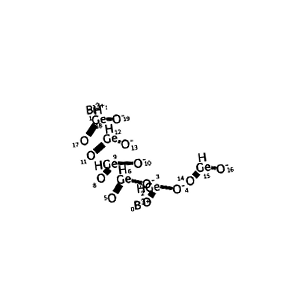 [B+3].[Bi+3].[O]=[GeH][O-].[O]=[GeH][O-].[O]=[GeH][O-].[O]=[GeH][O-].[O]=[GeH][O-].[O]=[GeH][O-]